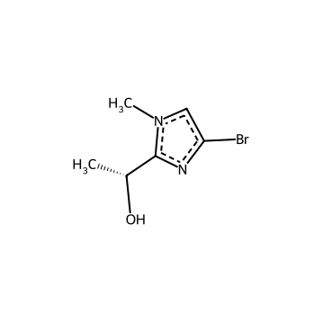 C[C@@H](O)c1nc(Br)cn1C